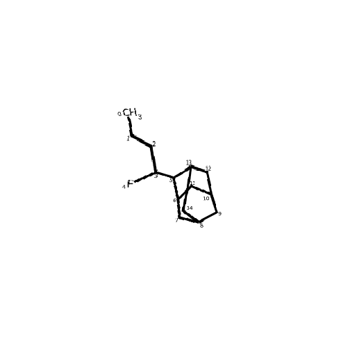 CCCC(F)C1C2CC3CC(C2)CC1C3